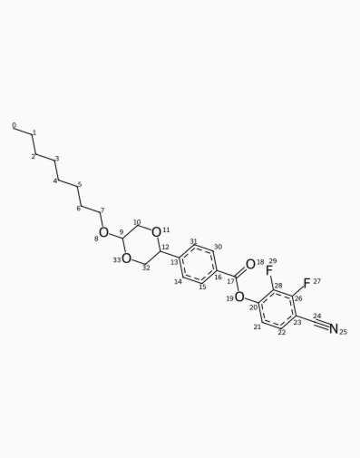 CCCCCCCCOC1COC(c2ccc(C(=O)Oc3ccc(C#N)c(F)c3F)cc2)CO1